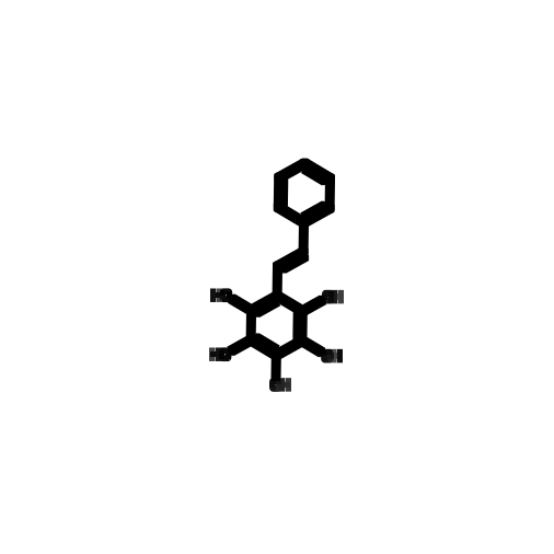 Oc1c(O)c(O)c(C=Cc2ccccc2)c(O)c1O